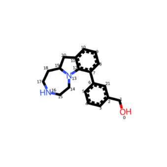 OCc1cccc(-c2cccc3c2N2CCNCCC2C3)c1